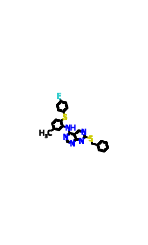 Cc1ccc(Sc2ccc(F)cc2)c(Nc2ncnc3nc(SCc4ccccc4)ncc23)c1